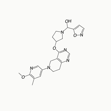 COc1ncc(N2CCc3ncnc(OC4CCN(C(O)c5ccno5)C4)c3C2)cc1C